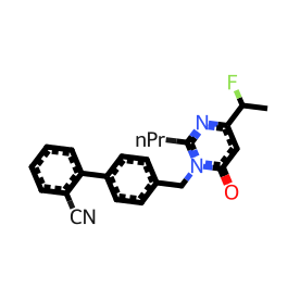 CCCc1nc(C(C)F)cc(=O)n1Cc1ccc(-c2ccccc2C#N)cc1